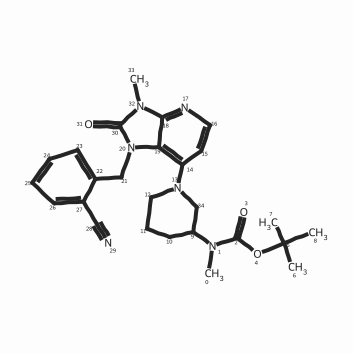 CN(C(=O)OC(C)(C)C)C1CCCN(c2ccnc3c2n(Cc2ccccc2C#N)c(=O)n3C)C1